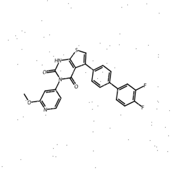 COc1cc(-n2c(=O)[nH]c3scc(-c4ccc(-c5ccc(F)c(F)c5)cc4)c3c2=O)ccn1